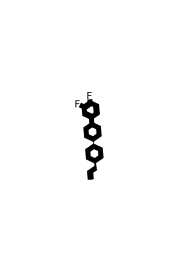 C=CC[C@H]1CC[C@H](C2CCC(c3ccc(F)c(F)c3)CC2)CC1